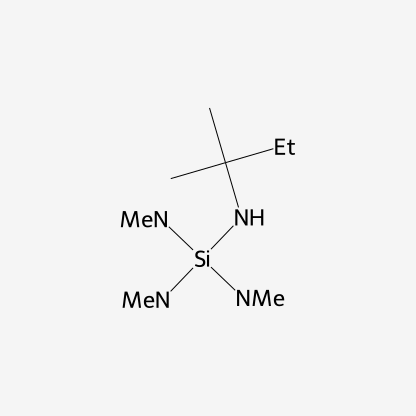 CCC(C)(C)N[Si](NC)(NC)NC